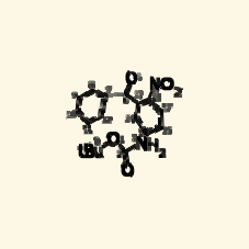 CC(C)(C)OC(N)=O.O=C(c1ccccc1)c1ccccc1[N+](=O)[O-]